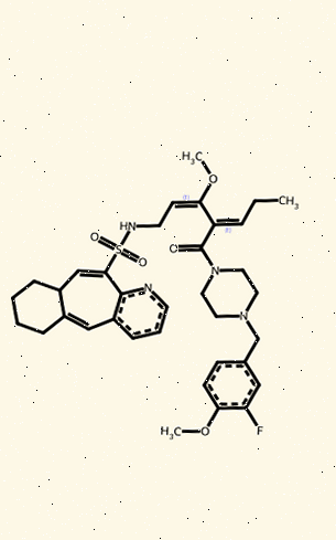 CC/C=C(C(=O)N1CCN(Cc2ccc(OC)c(F)c2)CC1)\C(=C/CNS(=O)(=O)C1=CC2CCCCC2=Cc2cccnc21)OC